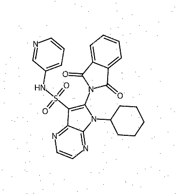 O=C1c2ccccc2C(=O)N1c1c(S(=O)(=O)Nc2cccnc2)c2nccnc2n1C1CCCCC1